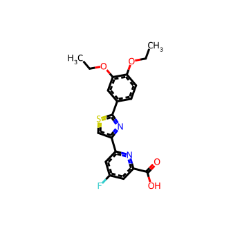 CCOc1ccc(-c2nc(-c3cc(F)cc(C(=O)O)n3)cs2)cc1OCC